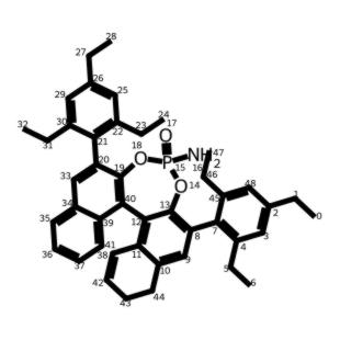 CCc1cc(CC)c(-c2cc3c(c4c2OP(N)(=O)Oc2c(-c5c(CC)cc(CC)cc5CC)cc5ccccc5c2-4)C=CCC3)c(CC)c1